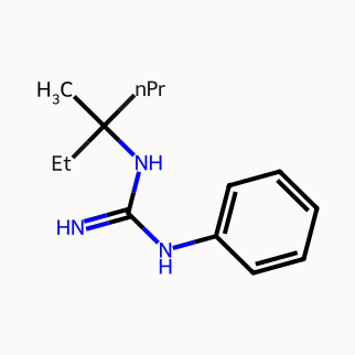 CCCC(C)(CC)NC(=N)Nc1ccccc1